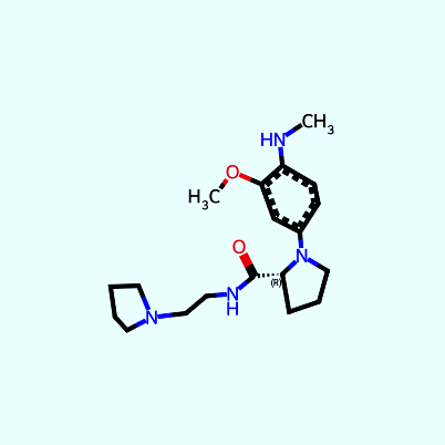 CNc1ccc(N2CCC[C@@H]2C(=O)NCCN2CCCC2)cc1OC